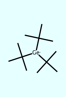 C[C](C)(C)[Ge]([C](C)(C)C)[C](C)(C)C